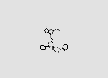 Cc1cc(OCC(CNC(C)CCc2ccccc2)OC(=O)c2ccccc2)c2cc[nH]c2c1